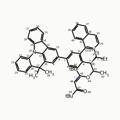 CCC(CC)[C@H](c1ccc(-c2cc3c4c(c2)c2ccccc2n4-c2ccccc2C3(C)C)cc1-c1nccc2ccccc12)C(C)O/C(=C\C(=O)C(C)(C)C)C(C)(C)C